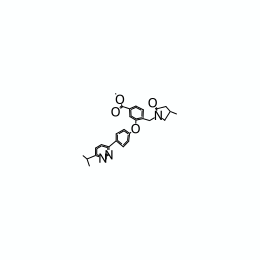 COC(=O)c1ccc(CN2CC(C)CC2=O)c(Oc2ccc(-c3ccc(C(C)C)nn3)cc2)c1